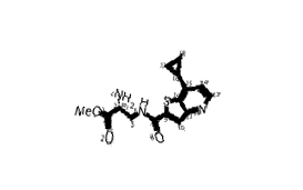 COC(=O)[C@H](N)CNC(=O)c1cc2nccc(C3CC3)c2s1